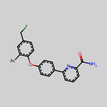 CC(=O)c1cc(CF)ccc1Oc1ccc(-c2cccc(C(N)=O)n2)cc1